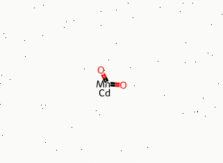 [Cd].[O]=[Mn]=[O]